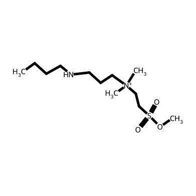 CCCCNCCC[N+](C)(C)CCS(=O)(=O)OC